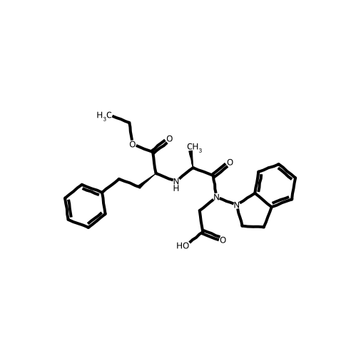 CCOC(=O)[C@H](CCc1ccccc1)N[C@@H](C)C(=O)N(CC(=O)O)N1CCc2ccccc21